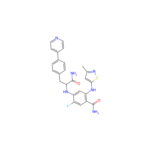 Cc1cc(Nc2cc(NC(Cc3ccc(-c4ccncc4)cc3)C(N)=O)c(F)cc2C(N)=O)sn1